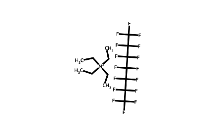 CC[N+](CC)(CC)CC.FC(F)(F)C(F)(F)C(F)(F)C(F)(F)C(F)(F)C(F)(F)C(F)(F)F